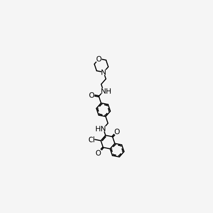 O=C(NCCN1CCOCC1)c1ccc(CNC2=C(Cl)C(=O)c3ccccc3C2=O)cc1